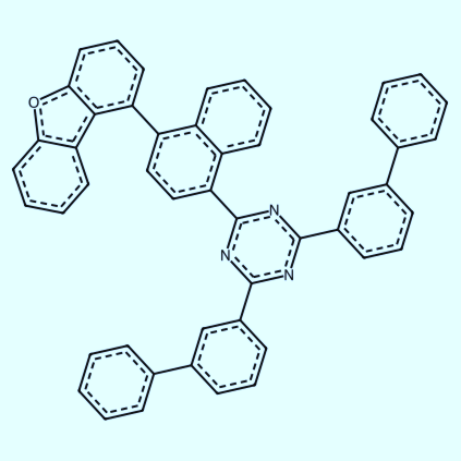 c1ccc(-c2cccc(-c3nc(-c4cccc(-c5ccccc5)c4)nc(-c4ccc(-c5cccc6oc7ccccc7c56)c5ccccc45)n3)c2)cc1